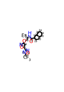 CC[C@@H](COc1cc(-c2noc(C(F)(F)F)n2)on1)NC(=O)c1ccc2ccccc2c1